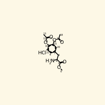 COC(=O)C(N)Cc1ccc(OC(C)=O)c(OC(C)=O)c1.Cl